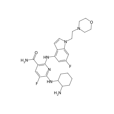 NC(=O)c1cc(F)c(NC2CCCCC2N)nc1Nc1cc(F)cc2c1ccn2CCN1CCOCC1